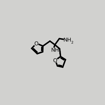 NCC(N)(Cc1ccco1)Cc1ccco1